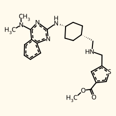 COC(=O)c1csc(CNC[C@H]2CC[C@@H](Nc3nc(N(C)C)c4ccccc4n3)CC2)c1